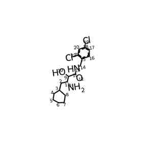 N[C@H](CC1CCCCC1)C(O)C(=O)NCc1ccc(Cl)cc1Cl